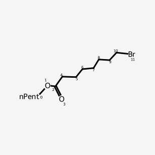 CCCCCOC(=O)CCCCCCCBr